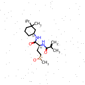 C=C(C)C(=O)N[C@@H](CC[S+](C)[O-])C(=O)N[C@H]1CCCC(C)(C(C)C)C1